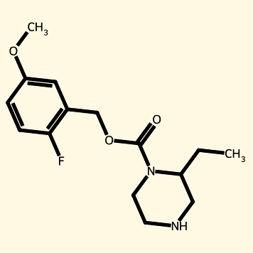 CCC1CNCCN1C(=O)OCc1cc(OC)ccc1F